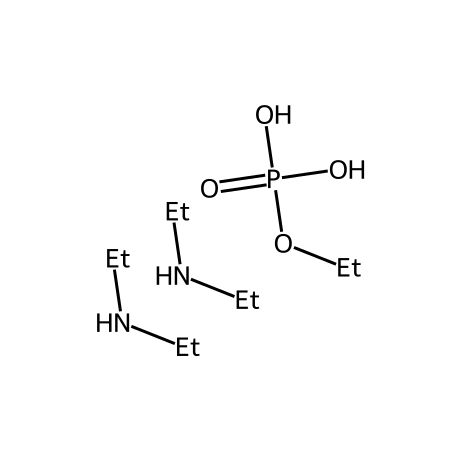 CCNCC.CCNCC.CCOP(=O)(O)O